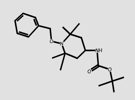 CC(C)(C)OC(=O)NC1CC(C)(C)N(OCc2ccccc2)C(C)(C)C1